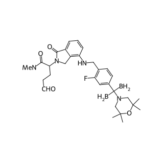 BC(B)(c1ccc(CNc2cccc3c2CN(C(CCC=O)C(=O)NC)C3=O)c(F)c1)N1CC(C)(C)OC(C)(C)C1